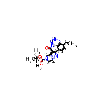 CCc1ccc(-c2nn3c(c2C(=O)N=NN)CN(C(=O)OC(C)(C)C)CC3)cc1